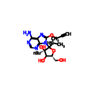 C#CCOc1nc2c(N)ncnc2n1[C@]1([SiH](C)C)O[C@H](CO)[C@@H](O)[C@]1(O)CCCC